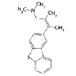 CC(CN(C)C)=C(C)c1ccc2sc3ccccc3c2c1